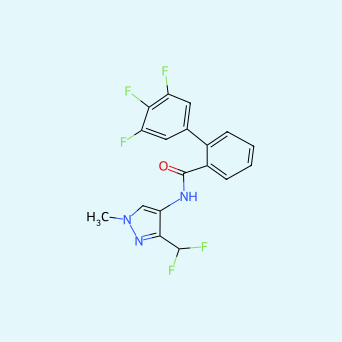 Cn1cc(NC(=O)c2ccccc2-c2cc(F)c(F)c(F)c2)c(C(F)F)n1